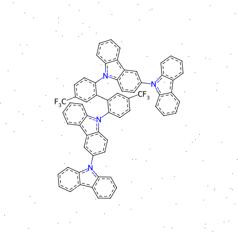 FC(F)(F)c1ccc(-n2c3ccccc3c3cc(-n4c5ccccc5c5ccccc54)ccc32)c(-c2cc(C(F)(F)F)ccc2-n2c3ccccc3c3cc(-n4c5ccccc5c5ccccc54)ccc32)c1